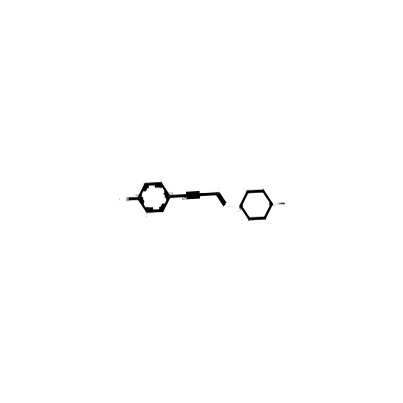 CC[C@H]1CC[C@H](/C=C/C#Cc2ccc(C(F)(F)F)cc2)CC1